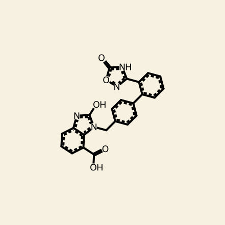 O=C(O)c1cccc2nc(O)n(Cc3ccc(-c4ccccc4-c4noc(=O)[nH]4)cc3)c12